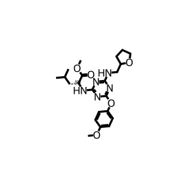 COC(=O)[C@@H](CC(C)C)Nc1nc(NCC2CCCO2)nc(Oc2ccc(OC)cc2)n1